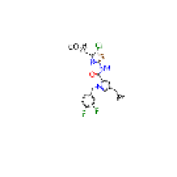 CC(C)Cc1cc(C(=O)Nc2nc(CC(=O)O)c(Cl)s2)n(Cc2ccc(F)c(F)c2)c1